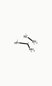 BC#N.CCCCN